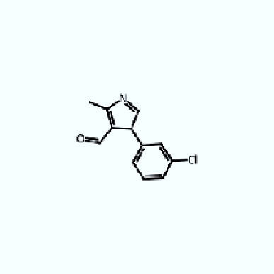 CC1=C(C=O)C(c2cccc(Cl)c2)C=N1